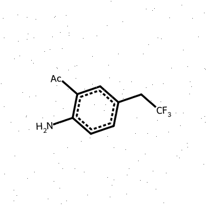 CC(=O)c1cc(CC(F)(F)F)ccc1N